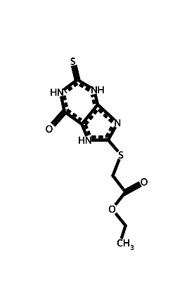 CCOC(=O)CSc1nc2[nH]c(=S)[nH]c(=O)c2[nH]1